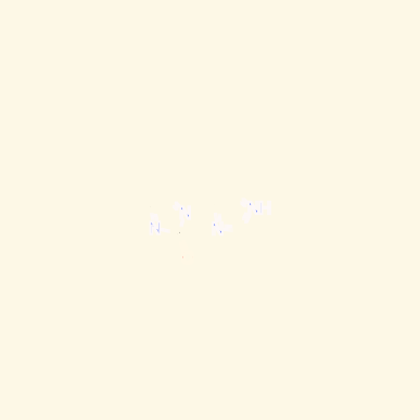 O=C1N=CC=N1.c1ccc2[nH]cnc2c1